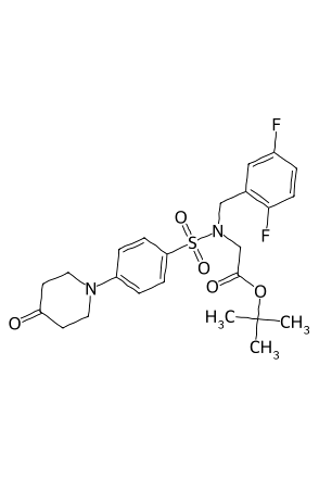 CC(C)(C)OC(=O)CN(Cc1cc(F)ccc1F)S(=O)(=O)c1ccc(N2CCC(=O)CC2)cc1